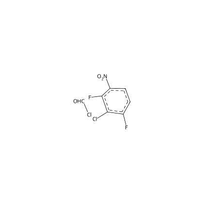 O=CCl.O=[N+]([O-])c1ccc(F)c(Cl)c1F